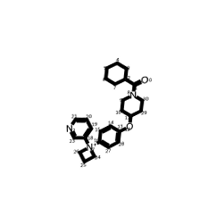 O=C(C1CCCCC1)N1CCC(Oc2ccc([N+]3(c4cccnc4)CCC3)cc2)CC1